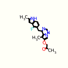 CC(=O)COc1cn2ncnc(Cc3ccc4[nH]c(C)cc4c3F)c2c1C